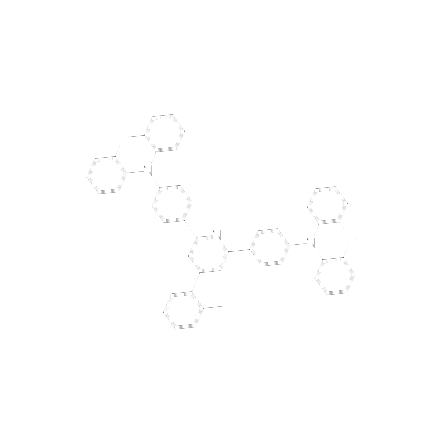 Cc1ccccc1-c1cc(-c2ccc(N3c4ccccc4Oc4ccccc43)cc2)nc(-c2ccc(N3c4ccccc4Oc4ccccc43)cc2)c1